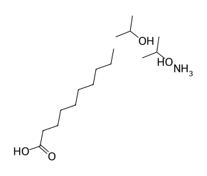 CC(C)O.CC(C)O.CCCCCCCCCC(=O)O.N